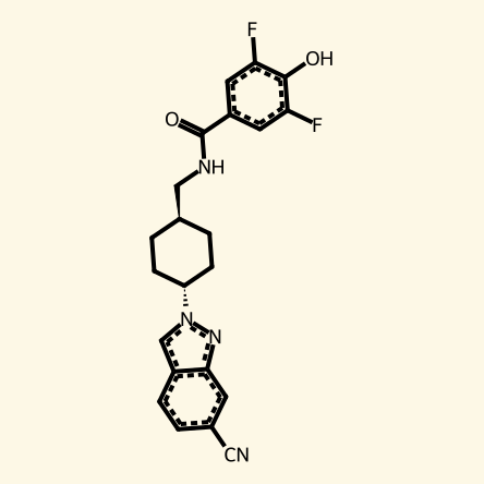 N#Cc1ccc2cn([C@H]3CC[C@H](CNC(=O)c4cc(F)c(O)c(F)c4)CC3)nc2c1